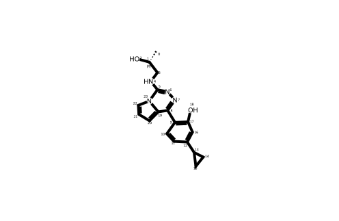 C[C@@H](O)CNc1nnc(-c2ccc(C3CC3)cc2O)c2cccn12